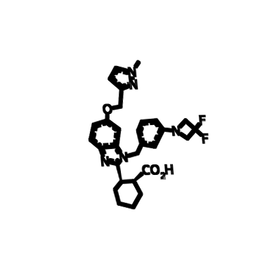 Cn1ccc(COc2ccc3nc([C@@H]4CCCC[C@@H]4C(=O)O)n(Cc4cccc(N5CC(F)(F)C5)c4)c3c2)n1